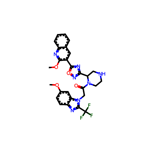 COc1ccc2nc(C(F)(F)F)n(CC(=O)N3CCNCC3c3noc(-c4cc5ccccc5nc4OC)n3)c2c1